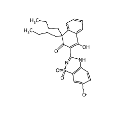 CCCCC1(CCCC)C(=O)C(C2=NS(=O)(=O)c3cc([O])ccc3N2)=C(O)c2ccccc21